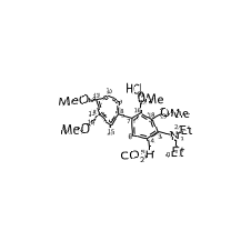 CCN(CC)c1c(C(=O)O)cc(-c2ccc(OC)c(OC)c2)c(OC)c1OC.Cl